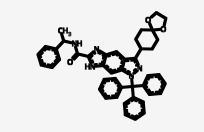 CC(NC(=O)c1nc2cc3c(C4CCC5(CC4)OCCO5)nn(C(c4ccccc4)(c4ccccc4)c4ccccc4)c3cc2[nH]1)c1ccccc1